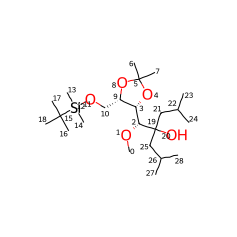 CO[C@H]([C@H]1OC(C)(C)O[C@H]1CO[Si](C)(C)C(C)(C)C)C(O)(CC(C)C)CC(C)C